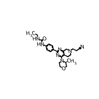 CCNC(=O)Nc1ccc(-c2nc3c(c(N4CCOC[C@@H]4C)n2)CCN(CCC#N)C3)cc1